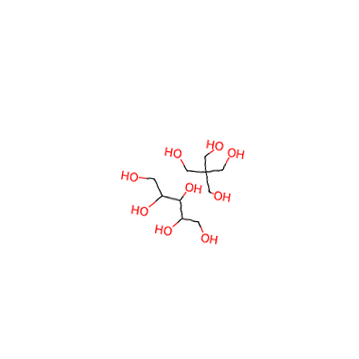 OCC(CO)(CO)CO.OCC(O)C(O)C(O)CO